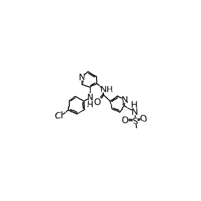 CS(=O)(=O)Nc1ccc(C(=O)Nc2ccncc2Nc2ccc(Cl)cc2)cn1